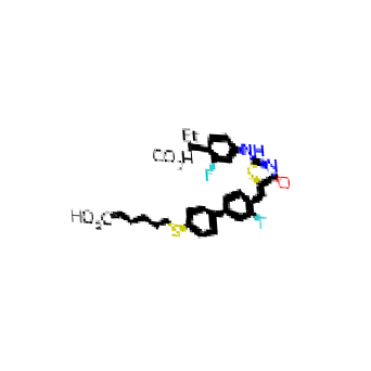 CCC(C(=O)O)c1ccc(NC2=NC(=O)C(=Cc3ccc(-c4ccc(SCCCCCC(=O)O)cc4)cc3F)S2)cc1F